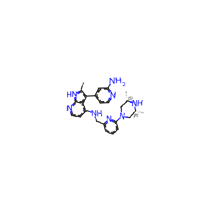 Cc1[nH]c2nccc(NCc3cccc(N4C[C@@H](C)N[C@@H](C)C4)n3)c2c1-c1ccnc(N)c1